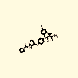 NC(=O)C1(C(=O)N(c2ccc(F)cc2)c2ccc(Oc3ccnc(NC(=O)N4CCCC4)c3)cc2)CC1